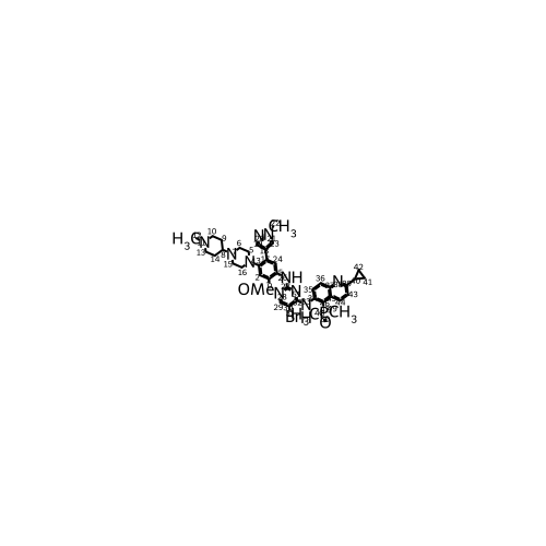 COc1cc(N2CCN(C3CCN(C)CC3)CC2)c(-c2cnn(C)c2)cc1Nc1ncc(Br)c(Nc2ccc3nc(C4CC4)ccc3c2P(C)(C)=O)n1